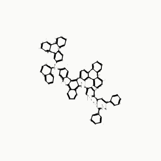 c1ccc(-c2cc(-c3ccc(-n4c5c(ccc6c7ccccc7c7ccccc7c65)c5c6c7ccc(N(c8cccc(-c9ccccc9-c9ccccc9)c8)c8cccc9ccccc89)cc7oc6c6ccccc6c54)cn3)nc(-c3ccccc3)n2)cc1